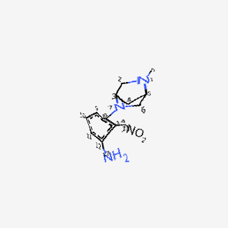 CN1CC2CC1CN2c1cccc(N)c1[N+](=O)[O-]